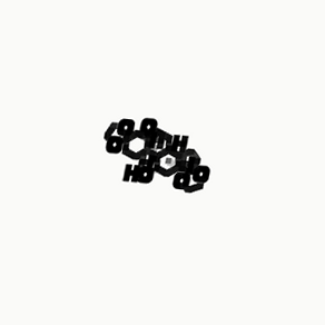 C[C@]12C[C@H](O)[C@H]3[C@@H](C[C@H]4O[C@]45CC4(CC[C@]35C)OCCO4)[C@@H]1CCC21OCCO1